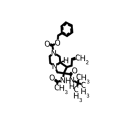 C=CCC1[C@H]2CN(C(=O)OCc3ccccc3)CCN2CC1(NC(C)=O)C(=O)NC(C)(C)C